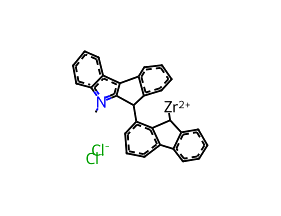 Cn1c2c(c3ccccc31)-c1ccccc1C2c1cccc2c1[CH]([Zr+2])c1ccccc1-2.[Cl-].[Cl-]